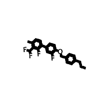 CCCc1ccc(COc2ccc(-c3ccc(C)c(C(F)F)c3F)cc2F)cc1